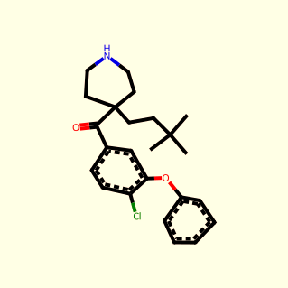 CC(C)(C)CCC1(C(=O)c2ccc(Cl)c(Oc3ccccc3)c2)CCNCC1